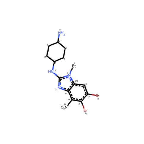 CCn1c(NC2CCC(N)CC2)nc2c([N+](=O)[O-])c(Br)c(Br)cc21